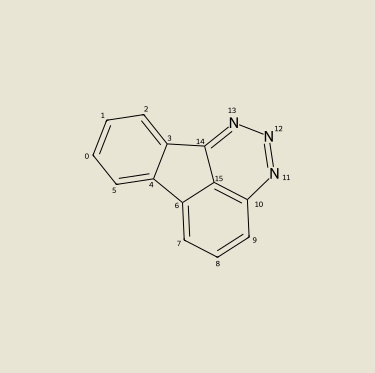 c1ccc2c(c1)-c1cccc3nnnc-2c13